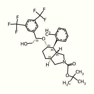 Cc1ccccc1[C@H]1[C@@H]2CN(C(=O)OC(C)(C)C)C[C@H]2CC[C@@H]1O[C@H](CO)c1cc(C(F)(F)F)cc(C(F)(F)F)c1